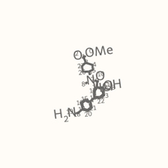 COC(=O)C1CCC(N(C)C(=O)c2cc(-c3ccc(CN)cc3)ccc2O)CC1.Cl